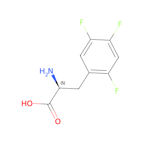 N[C@@H](Cc1cc(F)c(F)cc1F)C(=O)O